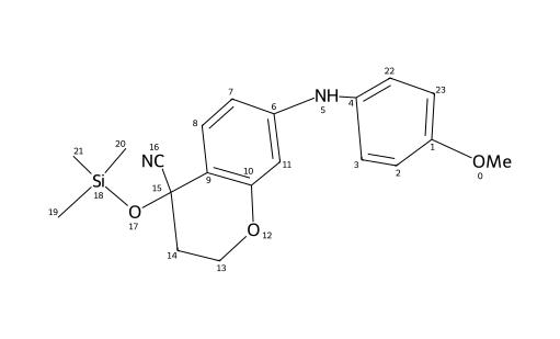 COc1ccc(Nc2ccc3c(c2)OCCC3(C#N)O[Si](C)(C)C)cc1